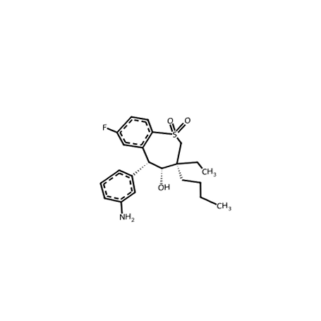 CCCC[C@@]1(CC)CS(=O)(=O)c2ccc(F)cc2[C@@H](c2cccc(N)c2)[C@H]1O